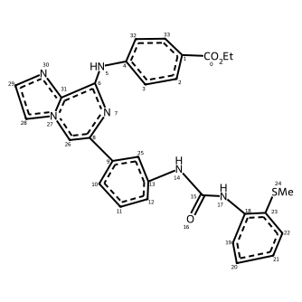 CCOC(=O)c1ccc(Nc2nc(-c3cccc(NC(=O)Nc4ccccc4SC)c3)cn3ccnc23)cc1